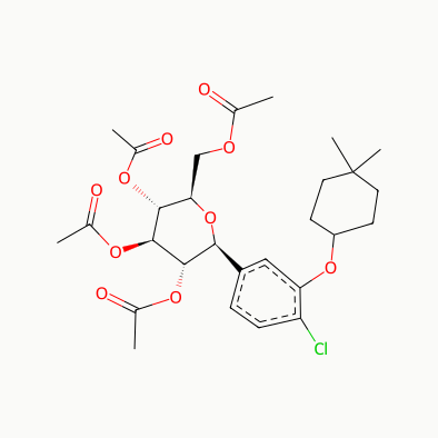 CC(=O)OC[C@H]1O[C@@H](c2ccc(Cl)c(OC3CCC(C)(C)CC3)c2)[C@H](OC(C)=O)[C@@H](OC(C)=O)[C@@H]1OC(C)=O